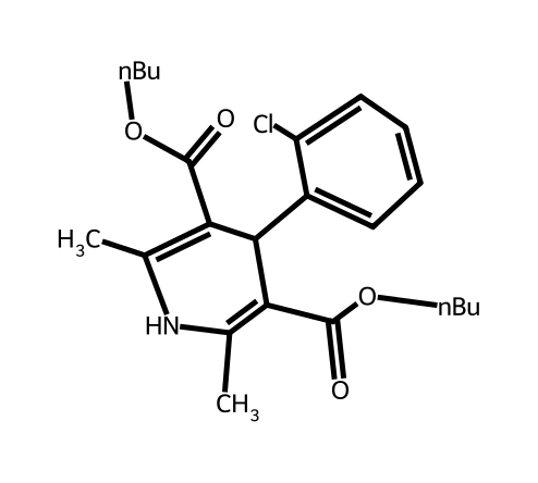 CCCCOC(=O)C1=C(C)NC(C)=C(C(=O)OCCCC)C1c1ccccc1Cl